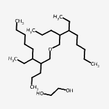 CCCCCC(CC)C(CCC)COCC(CCC)C(CC)CCCCC.OCCO